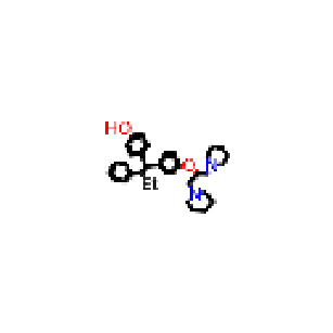 CCC(=C(c1ccc(O)cc1)c1ccc(OC(CN2CCCCC2)CN2CCCCC2)cc1)c1ccccc1